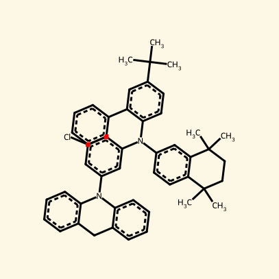 CC(C)(C)c1ccc(N(c2cc(Cl)cc(N3c4ccccc4Cc4ccccc43)c2)c2ccc3c(c2)C(C)(C)CCC3(C)C)c(-c2ccccc2)c1